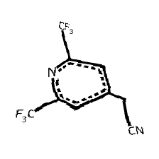 N#CCc1cc(C(F)(F)F)nc(C(F)(F)F)c1